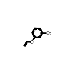 C=COc1cccc(CC)c1